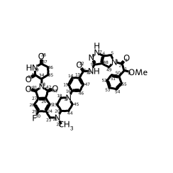 COC(C(=O)N1Cc2[nH]nc(NC(=O)c3ccc(N4CCC(N(C)Cc5cc6c(cc5F)C(=O)N(C5CCC(=O)NC5=O)C6=O)CC4)cc3)c2C1)c1ccccc1